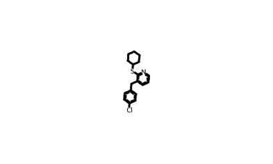 Clc1ccc(Cc2cccnc2SC2CCCCC2)cc1